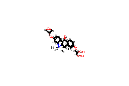 Cn1c2c(c3ccc(OC4COC4)cc31)C(=O)c1ccc(OCC(O)CO)cc1C2(C)C